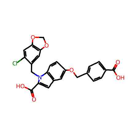 O=C(O)c1ccc(COc2ccc3c(c2)cc(C(=O)O)n3Cc2cc3c(cc2Cl)OCO3)cc1